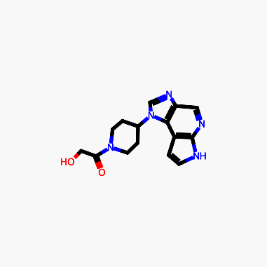 O=C(CO)N1CCC(n2cnc3cnc4[nH]ccc4c32)CC1